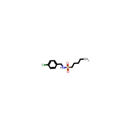 CCCCCS(=O)(=O)NCc1[c]cc(Cl)cc1